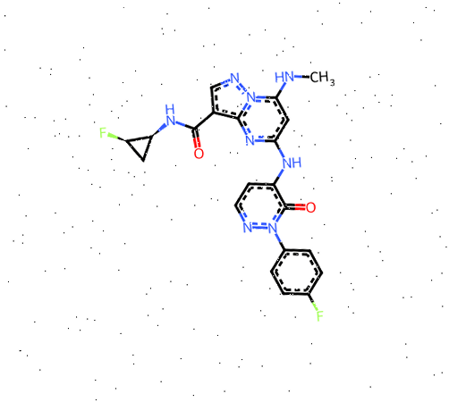 CNc1cc(Nc2ccnn(-c3ccc(F)cc3)c2=O)nc2c(C(=O)N[C@H]3C[C@H]3F)cnn12